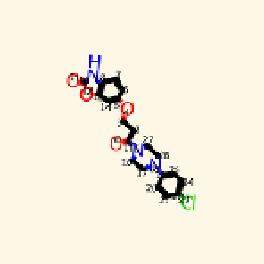 O=C(CCOc1ccc2[nH]c(=O)oc2c1)N1CCN(c2ccc(Cl)cc2)CC1